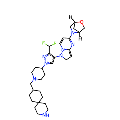 FC(F)c1nn(C2CCN(CC3CCC4(CCNCC4)CC3)CC2)cc1N1CC=C2N=C(N3C[C@H]4C[C@@H]3CO4)C=CN21